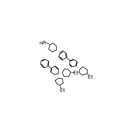 CCC[C@H]1CC[C@H](c2ccc(-c3ccc([C@H]4CC[C@H](CC)CC4)cc3)cc2)CC1.CC[C@H]1CC[C@H](C2([C@H]3CC[C@H](CC)CC3)C=CC(c3ccccc3)=CC2)CC1